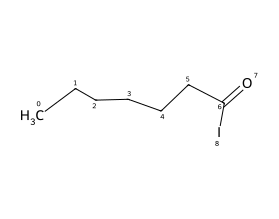 CCCCCCC(=O)I